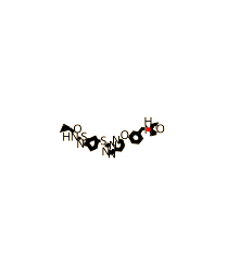 O=C(Nc1nc2ccc(Sc3nnc4ccc(Oc5cccc(CN6CC7C[C@H]6CO7)c5)nn34)cc2s1)C1CC1